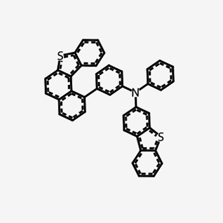 c1ccc(N(c2cccc(-c3cccc4ccc5sc6ccccc6c5c34)c2)c2ccc3c(c2)sc2ccccc23)cc1